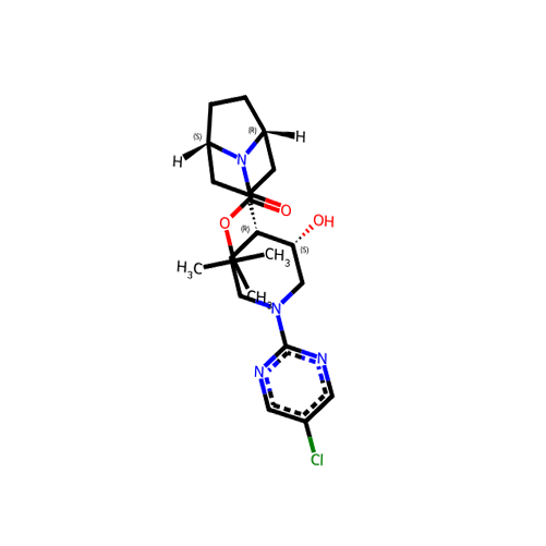 CC(C)(C)OC(=O)N1[C@@H]2CC[C@H]1CC([C@H]1CCN(c3ncc(Cl)cn3)C[C@H]1O)C2